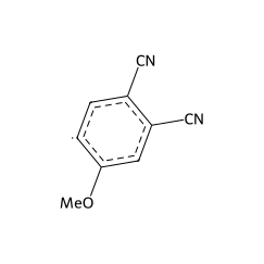 COc1[c]cc(C#N)c(C#N)c1